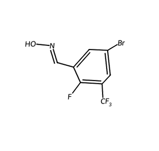 ON=Cc1cc(Br)cc(C(F)(F)F)c1F